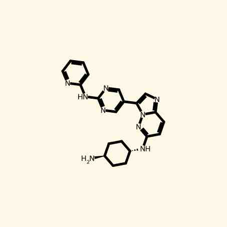 N[C@H]1CC[C@H](Nc2ccc3ncc(-c4cnc(Nc5ccccn5)nc4)n3n2)CC1